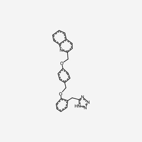 c1ccc(OCc2ccc(OCc3ccc4ccccc4n3)cc2)c(Cc2nnn[nH]2)c1